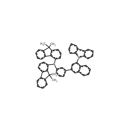 CC1(C)c2ccccc2-c2c(N(c3cccc(-c4cc(-n5c6ccccc6c6ccccc65)c5ccccc5c4)c3)c3cccc4c3C(C)(C)c3ccccc3-4)cccc21